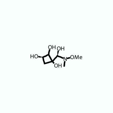 CON(C)[C@H](O)C1(O)C[C@@H](O)C1O